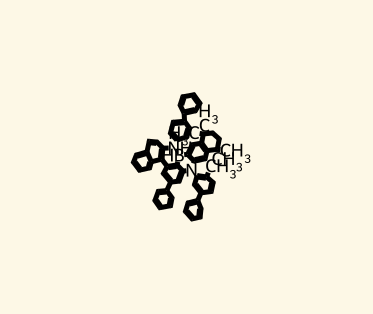 Cc1ccc(-c2ccccc2)cc1N1c2cc3c(cc2Bc2c(-c4c(Nc5ccc(-c6ccccc6)cc5)ccc5ccccc45)cc(-c4ccccc4)cc21)C(C)(C)CCC3(C)C